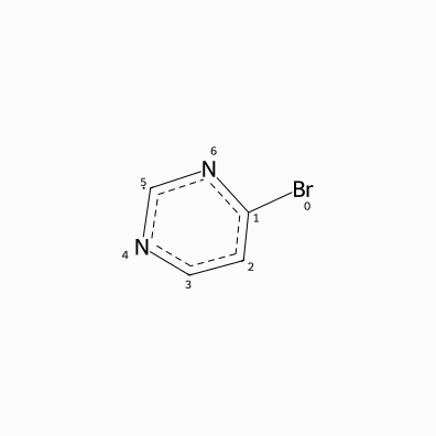 Brc1ccn[c]n1